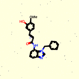 COc1ccc(/C=C/C(=O)Nc2cccc3ncn(Cc4ccccc4)c23)cc1O